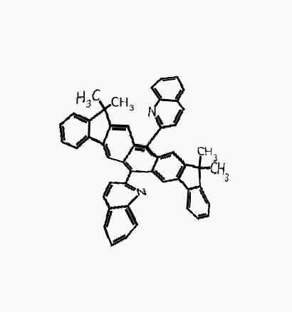 CC1(C)c2ccccc2-c2cc3c(-c4ccc5ccccc5n4)c4cc5c(cc4c(-c4ccc6ccccc6n4)c3cc21)C(C)(C)c1ccccc1-5